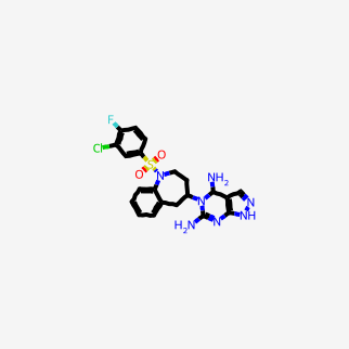 NC1=Nc2[nH]ncc2C(N)N1C1CCN(S(=O)(=O)c2ccc(F)c(Cl)c2)c2ccccc2C1